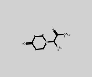 COC(=O)C(N1CCC(=O)CC1)C(C)(C)C